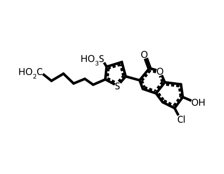 O=C(O)CCCCCc1sc(-c2cc3cc(Cl)c(O)cc3oc2=O)cc1S(=O)(=O)O